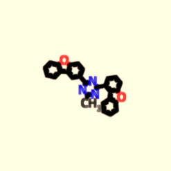 Cc1nc(-c2ccc3oc4ccccc4c3c2)nc(-c2cccc3oc4ccccc4c23)n1